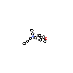 c1ccc(-c2ccc(-c3ccc(N(c4ccc(-c5ccccc5)cc4)c4cccc(-c5cccc6c7ccc8oc9ccccc9c8c7c7ccccc7c56)c4)cc3)cc2)cc1